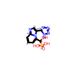 O=P(O)(O)C(O)c1cccc2ncc(-c3nnn[nH]3)n12